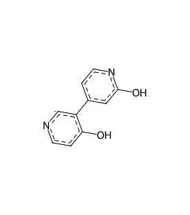 Oc1cc(-c2[c]nccc2O)ccn1